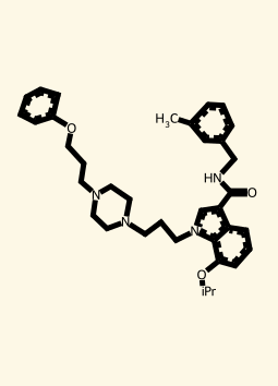 Cc1cccc(CNC(=O)c2cn(CCCN3CCN(CCCOc4ccccc4)CC3)c3c(OC(C)C)cccc23)c1